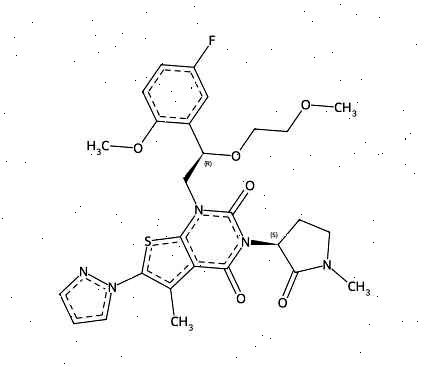 COCCO[C@@H](Cn1c(=O)n([C@H]2CCN(C)C2=O)c(=O)c2c(C)c(-n3cccn3)sc21)c1cc(F)ccc1OC